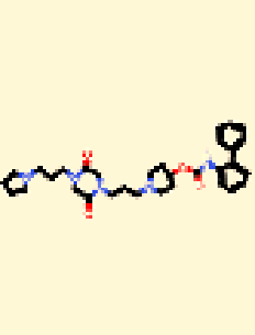 O=C(Nc1ccccc1-c1ccccc1)OC1CCN(CCCN2CC(=O)N(CCCN3CCCC3)CC2=O)CC1